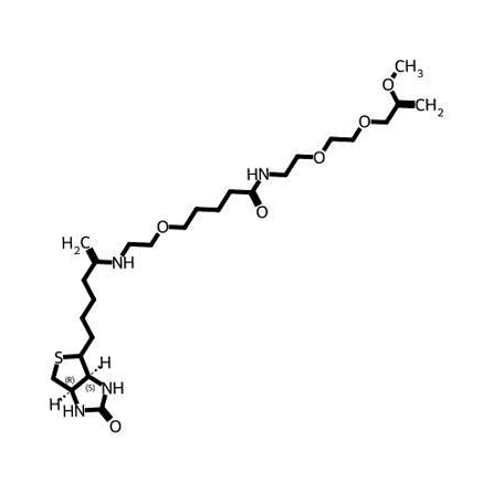 C=C(CCCCC1SC[C@@H]2NC(=O)N[C@H]12)NCCOCCCCC(=O)NCCOCCOCC(=C)OC